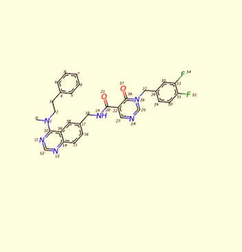 CN(CCc1ccccc1)c1ncnc2ccc(CNC(=O)c3cncn(Cc4ccc(F)c(F)c4)c3=O)cc12